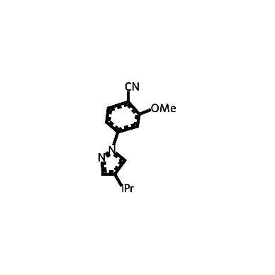 COc1cc(-n2cc(C(C)C)cn2)ccc1C#N